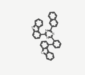 c1ccc(-c2cccc3oc4ccccc4c23)c(-c2nc(-c3ccc4ccccc4c3)nc(-c3cccc4sc5ccccc5c34)n2)c1